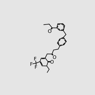 CCC(=O)c1cccc(Cc2ccc(CCC(=O)CC3=CC(C(F)(F)F)=CC(CC)C3=O)cc2)c1